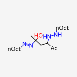 CCCCCCCCN=NC(C)(O)CC(NNCCCCCCCC)C(C)=O